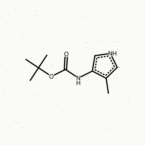 Cc1[c][nH]cc1NC(=O)OC(C)(C)C